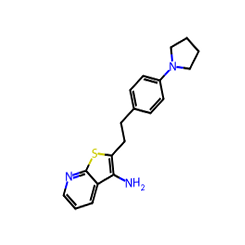 Nc1c(CCc2ccc(N3CCCC3)cc2)sc2ncccc12